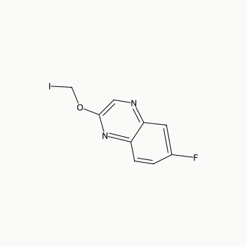 Fc1ccc2nc(OCI)cnc2c1